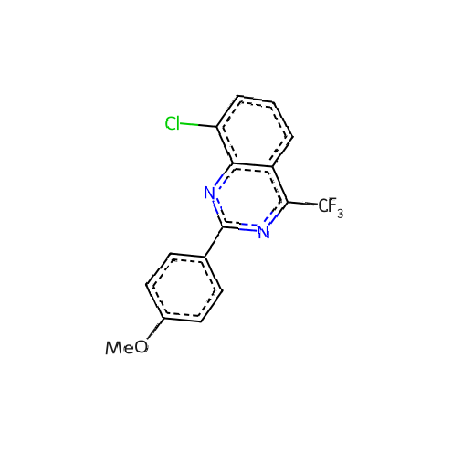 COc1ccc(-c2nc(C(F)(F)F)c3cccc(Cl)c3n2)cc1